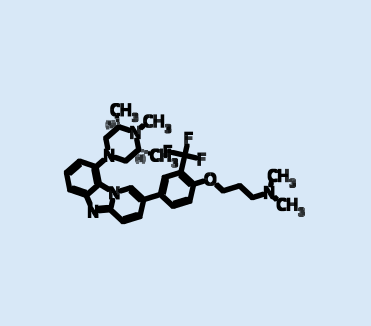 C[C@@H]1CN(c2cccc3nc4ccc(-c5ccc(OCCCN(C)C)c(C(F)(F)F)c5)cn4c23)C[C@H](C)N1C